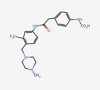 CN1CCN(Cc2ccc(NC(=O)Cc3ccc(NC(=O)O)cc3)cc2C(F)(F)F)CC1